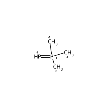 CP(C)(C)=P